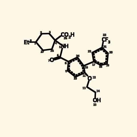 CCC1CCC(NC(=O)c2ccc(OCCO)c(-c3cccc(C(F)(F)F)c3)c2)(C(=O)O)CC1